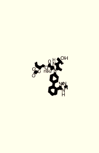 CCCCC1(C(=O)OCc2oc(=O)oc2C)NC(C(C)(C)O)=C(C)N1c1ccc(-c2ccccc2-c2nnn[nH]2)cc1